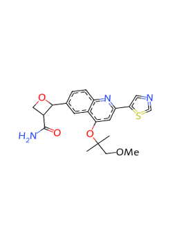 COCC(C)(C)Oc1cc(-c2cncs2)nc2ccc(C3OCC3C(N)=O)cc12